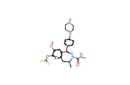 CNC(=O)N1N=C(c2ccc(N3CCN(C)CC3)cc2)c2cc(OC)c(OC(F)F)cc2C[C@@H]1C